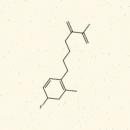 C=C(C)C(=C)CCCCC1=C(C)CC(F)C=C1